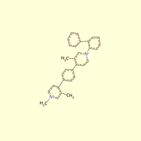 Cc1c[n+](C)ccc1-c1ccc(-c2cc[n+](-c3ccccc3-c3ccccc3)cc2C)cc1